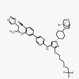 C[C@@H](Cn1cnnn1)Oc1cc(-c2cnc(Nc3cn([C@H]4CC[C@H](N5C=C6C[C@@H]5CO6)CC4)nc3OCCCOCC(F)(F)F)nc2)ccc1C#N